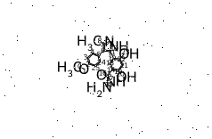 COc1ccc(-c2c(C)n[nH]c2-c2cc(C(=O)NN)c(O)cc2O)cc1